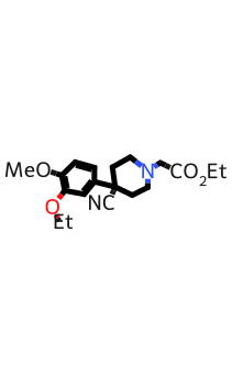 CCOC(=O)CN1CCC(C#N)(c2ccc(OC)c(OCC)c2)CC1